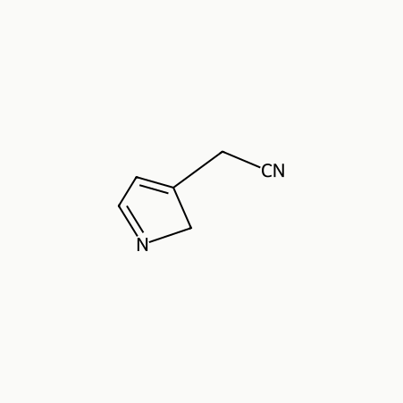 N#CCC1=CC=NC1